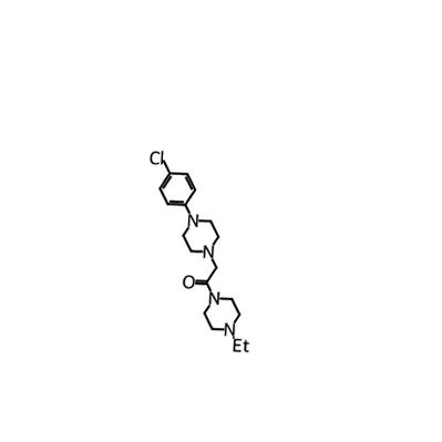 CCN1CCN(C(=O)CN2CCN(c3ccc(Cl)cc3)CC2)CC1